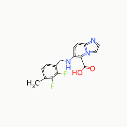 Cc1ccc(CNc2ccc3nccn3c2C(=O)O)c(F)c1F